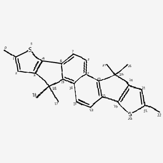 Cc1cc2c(s1)-c1ccc3c4c(ccc3c1C2(C)C)-c1sc(C)cc1C4(C)C